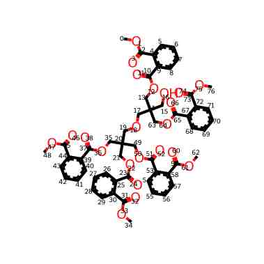 COC(=O)c1ccccc1C(=O)OCC(CO)(COCC(COC(=O)c1ccccc1C(=O)OC)(COC(=O)c1ccccc1C(=O)OC)COC(=O)c1ccccc1C(=O)OC)COC(=O)c1ccccc1C(=O)OC